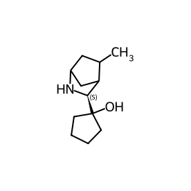 CC1CC2CC1[C@@H](C1(O)CCCC1)N2